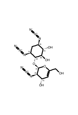 [N-]=[N+]=N[C@H]1[C@@H](O[C@H]2[C@H](O)[C@@H](O)[C@H](N=[N+]=[N-])C[C@@H]2N=[N+]=[N-])OC(CO)=C[C@@H]1O